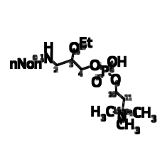 CCCCCCCCCNCC(COP(=O)(O)OCC[N+](C)(C)C)OCC